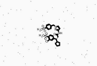 CS(=O)(=O)c1ccc(Cn2ccc(NC(=O)C[C@@H](c3ccc(S(C)(=O)=O)c(Cl)c3)C3CCCC3)n2)cc1